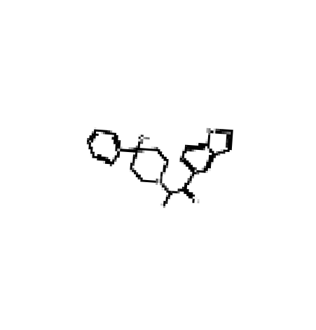 CC(C(=O)c1ccc2[nH]ccc2c1)N1CCC(O)(c2ccccc2)CC1